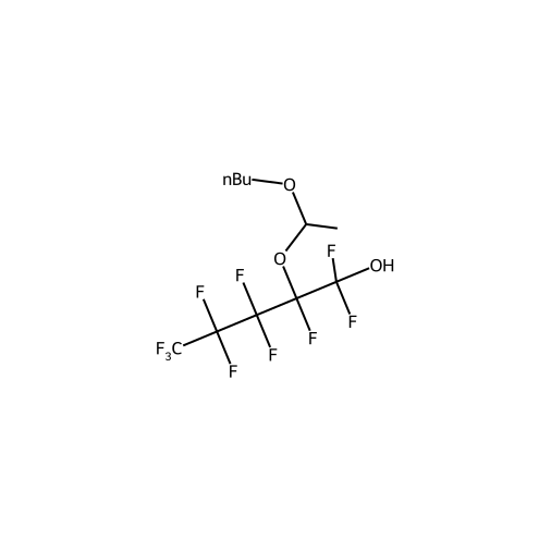 CCCCOC(C)OC(F)(C(O)(F)F)C(F)(F)C(F)(F)C(F)(F)F